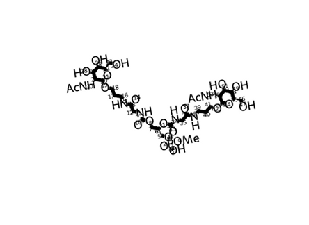 COP(=O)(O)OC[C@H](COC(=O)NCC(=O)NCCCO[C@@H]1O[C@H](CO)[C@H](O)[C@H](O)[C@H]1NC(C)=O)OC(=O)NCC(=O)NCCCO[C@@H]1O[C@H](CO)[C@H](O)[C@H](O)[C@H]1NC(C)=O